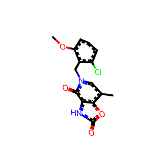 COc1cccc(Cl)c1Cn1cc(C)c2oc(=O)[nH]c2c1=O